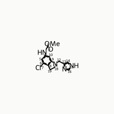 COC(=O)Nc1cc(Cl)c2c(c1)N(Cc1c[nH]cn1)CC2